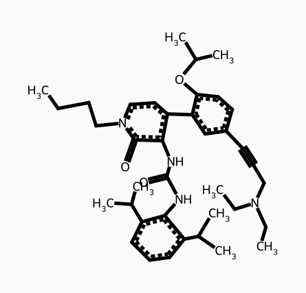 CCCCn1ccc(-c2cc(C#CCN(CC)CC)ccc2OC(C)C)c(NC(=O)Nc2c(C(C)C)cccc2C(C)C)c1=O